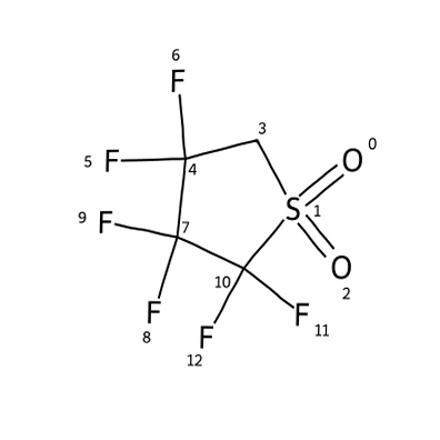 O=S1(=O)CC(F)(F)C(F)(F)C1(F)F